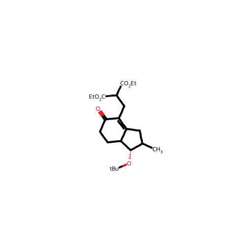 CCOC(=O)C(CC1=C2CC(C)[C@H](OC(C)(C)C)C2CCC1=O)C(=O)OCC